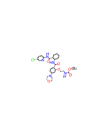 CC(C)(C)OC(=O)NCCOc1cc(N2CCOCC2)ccc1C(=O)Nc1ccccc1C(=O)Nc1ccc(Cl)cn1